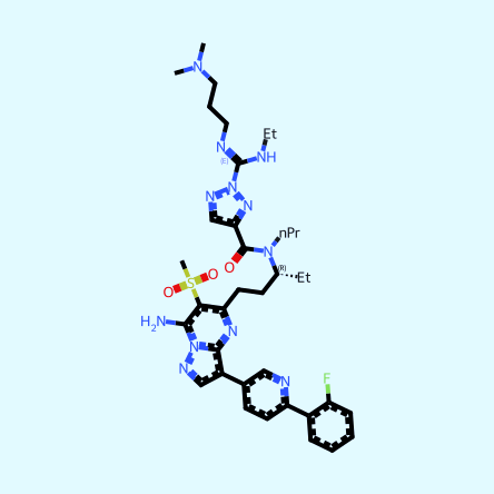 CCCN(C(=O)c1cnn(/C(=N/CCCN(C)C)NCC)n1)[C@H](CC)CCc1nc2c(-c3ccc(-c4ccccc4F)nc3)cnn2c(N)c1S(C)(=O)=O